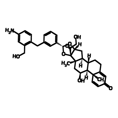 C[C@]12C=CC(=O)C=C1CC[C@@H]1[C@@H]2[C@@H](O)C[C@@]2(C)[C@H]1C[C@H]1O[C@@H](c3cccc(Cc4ccc(N)cc4CO)c3)O[C@]12C(=O)CO